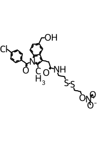 Cc1c(CC(=O)NCCSSCCO[N+](=O)[O-])c2cc(CO)ccc2n1C(=O)c1ccc(Cl)cc1